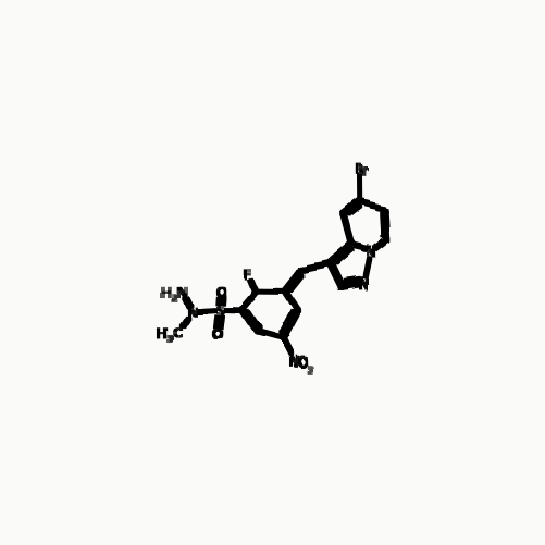 CN(N)S(=O)(=O)C1=CC([N+](=O)[O-])=C/C(=C\c2cnn3ccc(Br)cc23)C1F